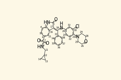 O=C1Nc2ccc(S(=O)(=O)NCC3CC3)cc2/C1=C(/Nc1ccc(N2CCOCC2)c(Cl)c1)c1ccccc1